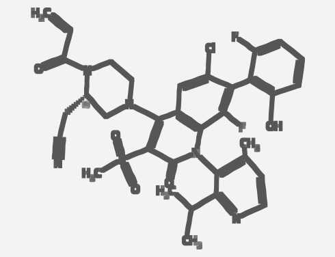 C=CC(=O)N1CCN(c2c(S(C)(=O)=O)c(=O)n(-c3c(C)ccnc3C(C)C)c3c(F)c(-c4c(O)cccc4F)c(Cl)cc23)C[C@@H]1CC#N